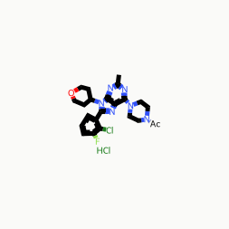 CC(=O)N1CCN(c2nc(C)nc3c2nc(-c2cccc(F)c2Cl)n3C2CCOCC2)CC1.Cl